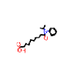 CC(C)N(C(=O)CCCCCCCCC(=O)O)c1ccccc1